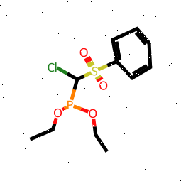 CCOP(OCC)C(Cl)S(=O)(=O)c1ccccc1